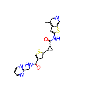 Cc1cncc2sc(NC(=O)C3CC3c3cc(C(=O)NCc4ncccn4)cs3)cc12